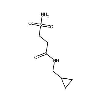 NS(=O)(=O)CCC(=O)NCC1CC1